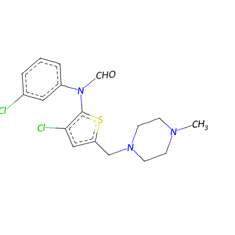 CN1CCN(Cc2cc(Cl)c(N(C=O)c3cccc(Cl)c3)s2)CC1